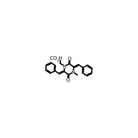 Cn1c(=O)c(=Cc2ccccc2)n(CC(=O)O)c(=O)c1=Cc1ccccc1